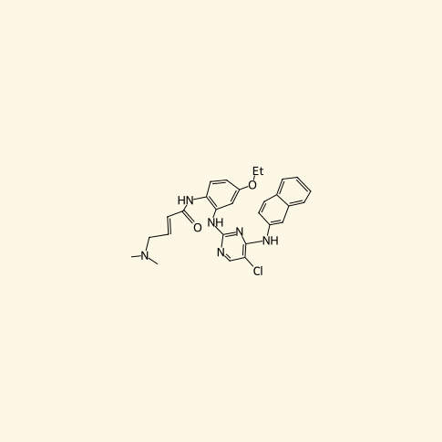 CCOc1ccc(NC(=O)/C=C/CN(C)C)c(Nc2ncc(Cl)c(Nc3ccc4ccccc4c3)n2)c1